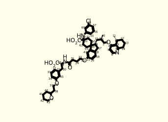 C[C@@H](COc1ccnc2c1[C@H](C)CCC2)C[C@H]1Cc2ccc(OCCCC(=O)N[C@H](Cc3cccc(OCCC4CCCCO4)c3)C(=O)O)cc2C12CCC(Nc1cccc(Cl)c1)(C(=O)O)CC2